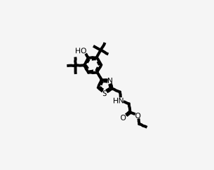 CCOC(=O)CNCc1nc(-c2cc(C(C)(C)C)c(O)c(C(C)(C)C)c2)cs1